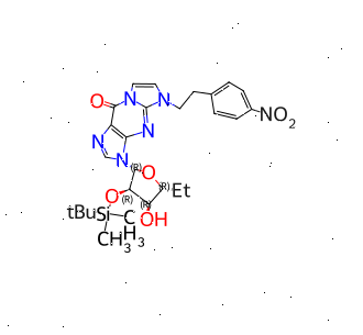 CC[C@H]1O[C@@H](n2cnc3c(=O)n4ccn(CCc5ccc([N+](=O)[O-])cc5)c4nc32)[C@H](O[Si](C)(C)C(C)(C)C)[C@@H]1O